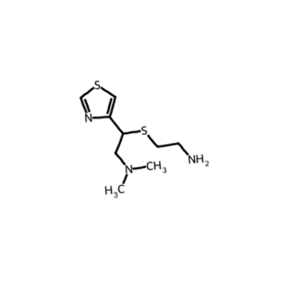 CN(C)CC(SCCN)c1cscn1